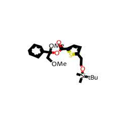 COCC(OC)(OC(=O)c1ccc(CCO[Si](C)(C)C(C)(C)C)s1)c1ccccc1